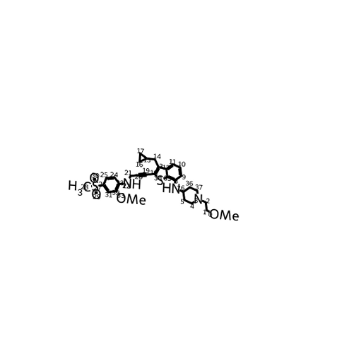 COCCN1CCC(Nc2cccc3c(CC4CC4)c(C#CCNc4ccc(S(C)(=O)=O)cc4OC)sc23)CC1